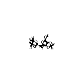 COC1O[C@@]2(C[C@@H]2B2OC(C)(C)C(C)(C)O2)C2OC(C)(C)OC12